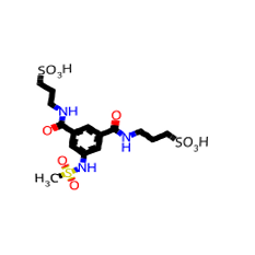 CS(=O)(=O)Nc1cc(C(=O)NCCCS(=O)(=O)O)cc(C(=O)NCCCS(=O)(=O)O)c1